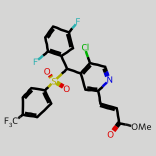 COC(=O)/C=C/c1cc(C(c2cc(F)ccc2F)S(=O)(=O)c2ccc(C(F)(F)F)cc2)c(Cl)cn1